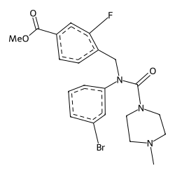 COC(=O)c1ccc(CN(C(=O)N2CCN(C)CC2)c2cccc(Br)c2)c(F)c1